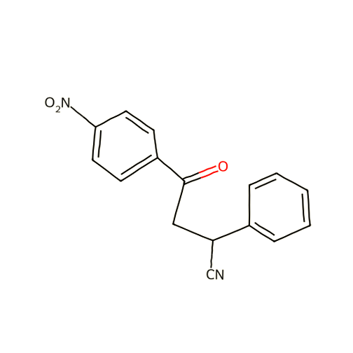 N#CC(CC(=O)c1ccc([N+](=O)[O-])cc1)c1ccccc1